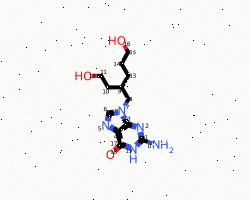 Nc1nc2c(ncn2CC(CCO)CCCO)c(=O)[nH]1